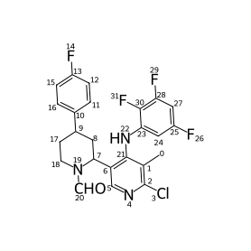 Cc1c(Cl)ncc(C2CC(c3ccc(F)cc3)CCN2C=O)c1Nc1cc(F)cc(F)c1F